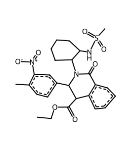 CCOC(=O)C1c2ccccc2C(=O)N(C2CCCCC2NS(C)(=O)=O)C1c1ccc(C)c([N+](=O)[O-])c1